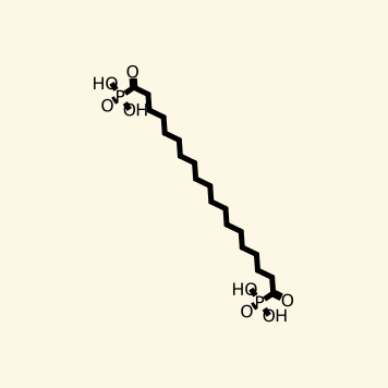 O=C(CCCCCCCCCCCCCCCCCC(=O)P(=O)(O)O)P(=O)(O)O